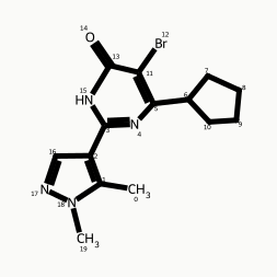 Cc1c(-c2nc(C3CCCC3)c(Br)c(=O)[nH]2)cnn1C